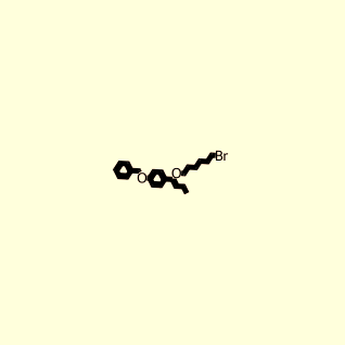 CCC=C(OCCCCCCBr)c1ccc(OCc2ccccc2)cc1